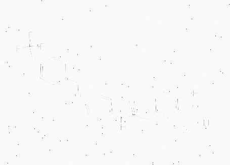 CS(=O)(=O)c1cc(CC(=O)Nc2ccc(OCc3ccc(OC(F)(F)F)cc3)cc2)ccc1O